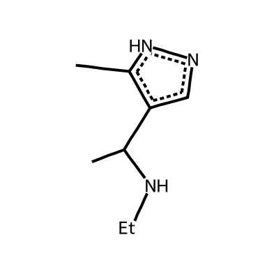 CCNC(C)c1cn[nH]c1C